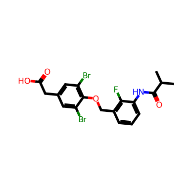 CC(C)C(=O)Nc1cccc(COc2c(Br)cc(CC(=O)O)cc2Br)c1F